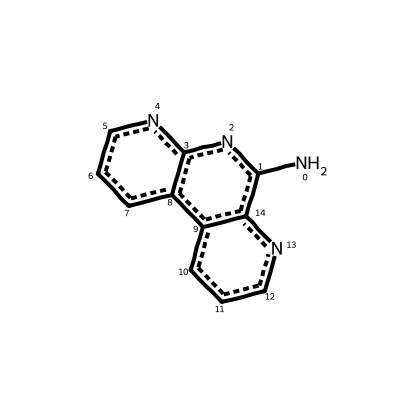 Nc1nc2ncccc2c2cccnc12